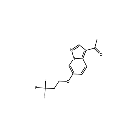 CC(=O)c1cnn2cc(OCCC(F)(F)F)ccc12